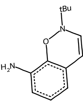 CC(C)(C)N1C=Cc2cccc(N)c2O1